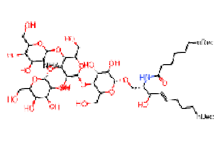 CCCCCCCCCCCCC/C=C/[C@@H](O)[C@H](CO[C@@H]1OC(CO)[C@@H](O[C@@H]2OC(CO)[C@H](O[C@@H]3OC(CO)[C@H](O)[C@H](O)C3NC(C)=O)[C@H](O[C@H]3OC(CO)[C@H](O)[C@H](O)C3O)C2O)[C@H](O)C1O)NC(=O)CCCCCCCCCCCCCCC